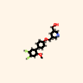 COc1cc(F)c(F)cc1-c1ccc(OCc2cncc(CO)c2)cc1